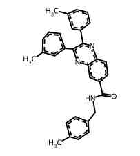 Cc1ccc(CNC(=O)c2ccc3nc(-c4cccc(C)c4)c(-c4cccc(C)c4)nc3c2)cc1